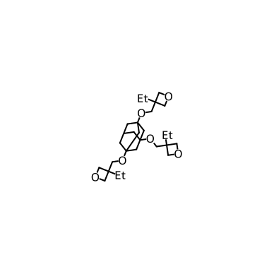 CCC1(COC23CC4CC(OCC5(CC)COC5)(C2)CC(OCC2(CC)COC2)(C4)C3)COC1